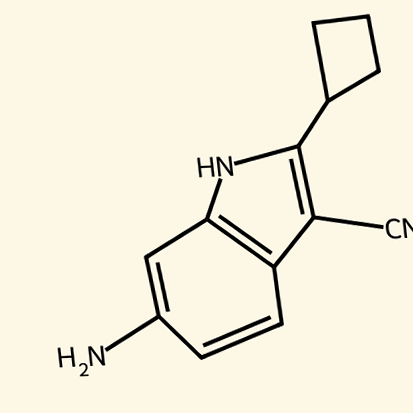 N#Cc1c(C2CCC2)[nH]c2cc(N)ccc12